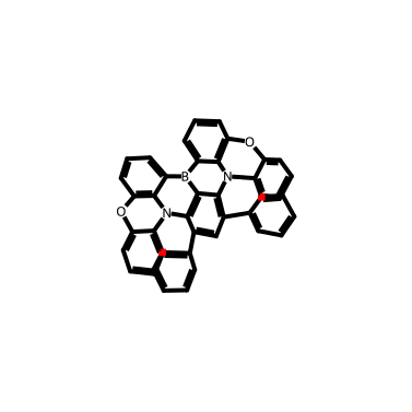 c1ccc(-c2cc(-c3ccccc3)c3c4c2N2c5ccccc5Oc5cccc(c52)B4c2cccc4c2N3c2ccccc2O4)cc1